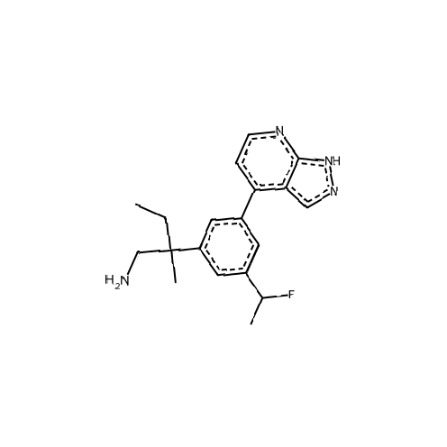 CCC(C)(CN)c1cc(-c2ccnc3[nH]ncc23)cc(C(C)F)c1